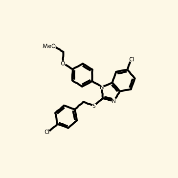 COCOc1ccc(-n2c(SCc3ccc(Cl)cc3)nc3ccc(Cl)cc32)cc1